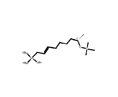 CCC[CH2][Sn]([CH2]C=CCCCC[C@H](C)O[Si](C)(C)C)([CH2]CCC)[CH2]CCC